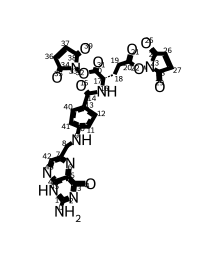 Nc1nc(=O)c2nc(CNc3ccc(C(=O)N[C@@H](CCC(=O)ON4C(=O)C=CC4=O)C(=O)ON4C(=O)C=CC4=O)cc3)cnc2[nH]1